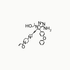 C=CC(=O)N1CCC(N2CC(C#Cc3c(-c4ccc(Oc5ccccc5)cc4)c4c(N)ncnc4n3C(C)CO)C2)CC1